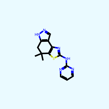 CC1(C)Cc2[nH]ncc2-c2nc(Nc3ncccn3)sc21